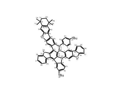 CC(C)(C)c1ccc(N2B3c4cc5c(cc4-n4c6ccc(C(C)(C)C)cc6c6c7c(sc8ccccc87)c(c3c64)-c3cc4oc6cc7c(cc6c4cc32)C(C)(C)CCC7(C)C)oc2ccccc25)cc1